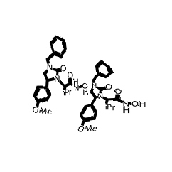 COc1ccc(C2CN(Cc3ccccc3)C(=O)N2C(C(=O)NO)C(C)C)cc1.COc1ccc(C2CN(Cc3ccccc3)C(=O)N2C(C(=O)NO)C(C)C)cc1